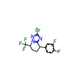 Fc1ccc(C2CCC(C(F)(F)F)n3nc(Br)nc32)cc1F